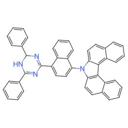 c1ccc(C2=NC(c3ccc(-n4c5ccc6ccccc6c5c5c6ccccc6ccc54)c4ccccc34)=NC(c3ccccc3)N2)cc1